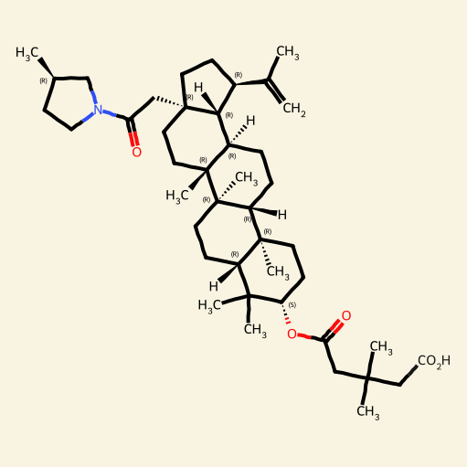 C=C(C)[C@@H]1CC[C@]2(CC(=O)N3CC[C@@H](C)C3)CC[C@]3(C)[C@H](CC[C@@H]4[C@@]5(C)CC[C@H](OC(=O)CC(C)(C)CC(=O)O)C(C)(C)[C@@H]5CC[C@]43C)[C@@H]12